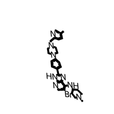 Cc1ccc(CN2CCN(c3ccc(-c4nc5c(NC6CCN(C)CC6)c(Br)cnc5[nH]4)cc3)CC2)nc1